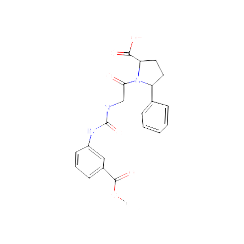 COC(=O)c1cccc(NC(=O)NCC(=O)N2C(C(=O)O)CCC2c2ccccc2)c1